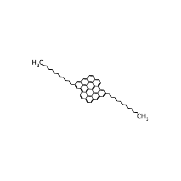 CCCCCCCCCCCCc1cc2cc3ccc4ccc5c6cc(CCCCCCCCCCCC)cc7cc8ccc9ccc%10c(c1)c2c1c3c4c5c2c(c76)c8c9c%10c12